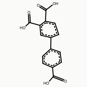 O=C(O)c1ccc(-c2ccc(C(=O)O)c(C(=O)O)c2)cc1